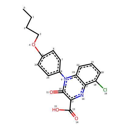 CCCCOc1ccc(-n2c(=O)c(C(=O)O)nc3c(Cl)cccc32)cc1